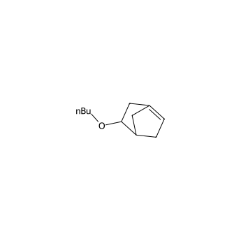 CCCCOC1CC2=CCC1C2